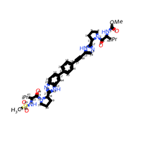 COC(=O)NC(C(=O)N1CCCC1c1ncc(C#Cc2ccc(-c3ccc4nc(C5CCCN5C(=O)C(NS(C)(=O)=O)C(C)C)[nH]c4c3)cc2)[nH]1)C(C)C